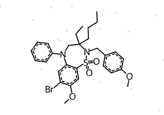 CCCCC1(CC)CN(c2ccccc2)c2cc(Br)c(OC)cc2S(=O)(=O)N1Cc1ccc(OC)cc1